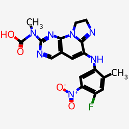 Cc1cc(F)c([N+](=O)[O-])cc1NC1=Cc2cnc(N(C)C(=O)O)nc2N2CCN=C12